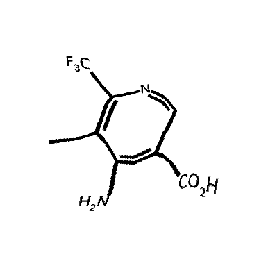 Cc1c(C(F)(F)F)ncc(C(=O)O)c1N